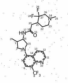 CC1CN(c2ccc(C(F)(F)F)c3ncccc23)CC1NC(=O)CC1CCN(C)CC1(F)F